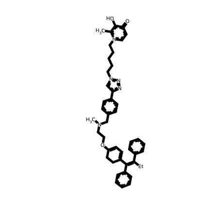 CC/C(=C(/C1=CC=C(OCCN(C)Cc2ccc(-c3cn(CCCCCn4ccc(=O)c(O)c4C)nn3)cc2)CC1)c1ccccc1)c1ccccc1